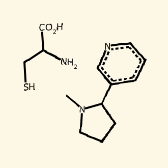 CN1CCCC1c1cccnc1.NC(CS)C(=O)O